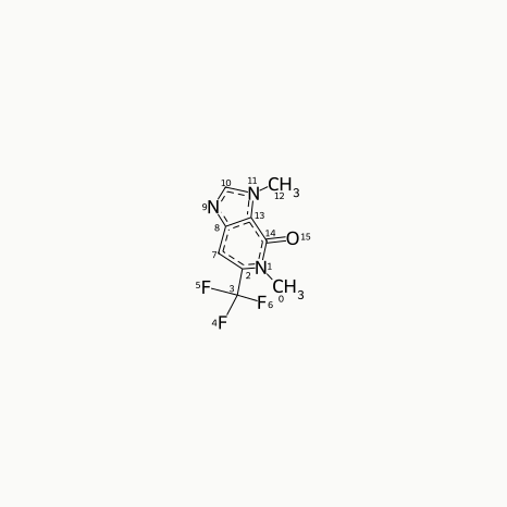 Cn1c(C(F)(F)F)cc2ncn(C)c2c1=O